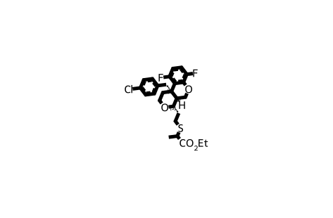 CCOC(=O)C(C)SCC[C@@H]1OCC[C@@]2(Cc3ccc(Cl)cc3)c3c(F)ccc(F)c3OC[C@@H]12